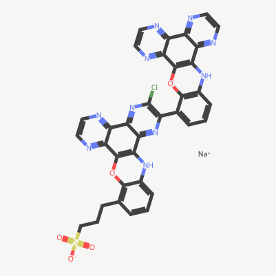 O=S(=O)([O-])CCCc1cccc2c1Oc1c(c3nc(-c4cccc5c4Oc4c(c6nccnc6c6nccnc46)N5)c(Cl)nc3c3nccnc13)N2.[Na+]